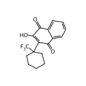 O=C1C(O)=C(C2(C(F)(F)F)CCCCC2)C(=O)c2ccccc21